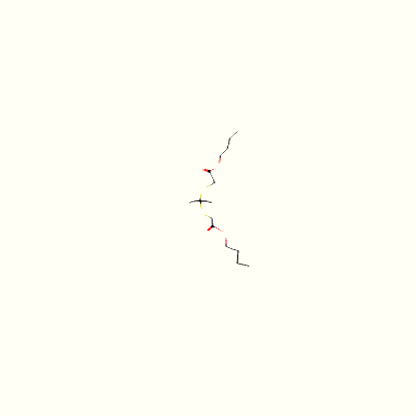 CCCCOC(=O)CSC(C)(C)SCC(=O)OCCCC